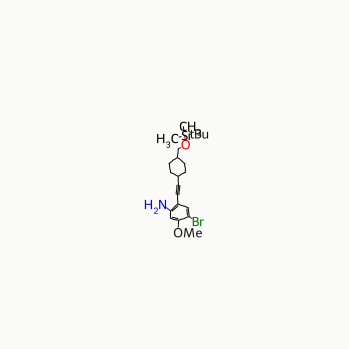 COc1cc(N)c(C#CC2CCC(CO[Si](C)(C)C(C)(C)C)CC2)cc1Br